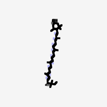 CCC(C)(C)[C@H](C)/C=C/C(C)=C/C=C/C(C)=C/C=C/C=C(C)/C=C/C=C(C)/C=C/C1=C(C)C[C@@H](O)CC1(C)C